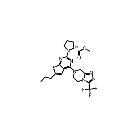 CCCc1cc2c(N3CCn4c(nnc4C(F)(F)F)C3)nc(N3CCC[C@@H]3C(=O)OC)nc2s1